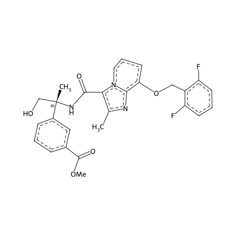 COC(=O)c1cccc([C@](C)(CO)NC(=O)c2c(C)nc3c(OCc4c(F)cccc4F)cccn23)c1